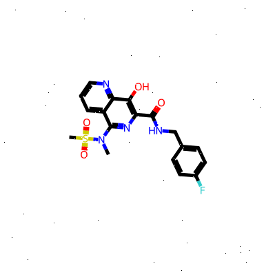 CN(c1nc(C(=O)NCc2ccc(F)cc2)c(O)c2ncccc12)S(C)(=O)=O